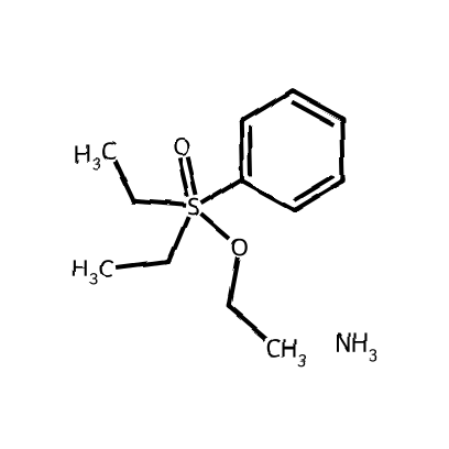 CCOS(=O)(CC)(CC)c1ccccc1.N